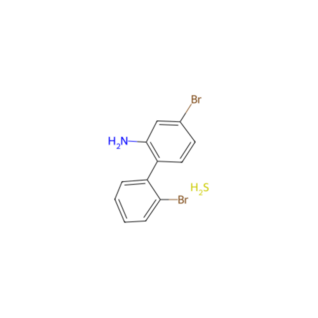 Nc1cc(Br)ccc1-c1ccccc1Br.S